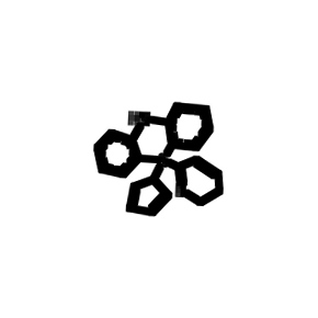 B1=C(S2(C3C=CC=C3)c3ccccc3Nc3ccccc32)C=CCC1